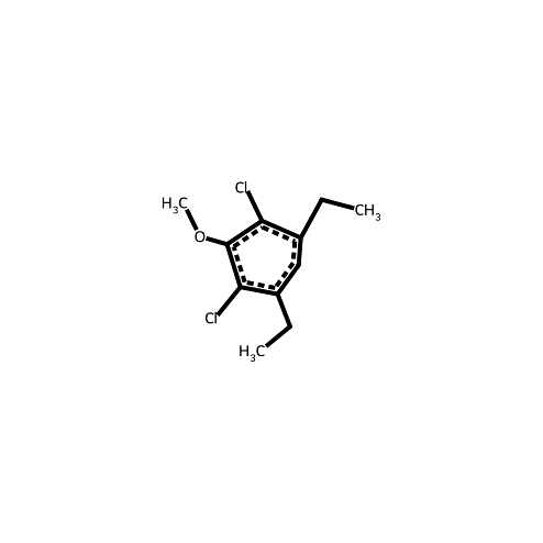 CCc1cc(CC)c(Cl)c(OC)c1Cl